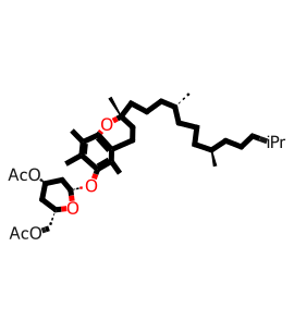 CC(=O)OC[C@@H]1C[C@H](OC(C)=O)C[C@H](Oc2c(C)c(C)c3c(c2C)CC[C@@](C)(CCC[C@H](C)CCC[C@H](C)CCCC(C)C)O3)O1